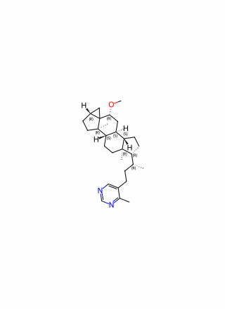 CO[C@@H]1C[C@H]2[C@@H]3CC[C@H]([C@H](C)CCc4cncnc4C)[C@@]3(C)CC[C@@H]2[C@@]2(C)CC[C@@H]3CC312